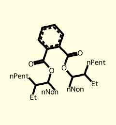 CCCCCCCCCC(OC(=O)c1ccccc1C(=O)OC(CCCCCCCCC)C(CC)CCCCC)C(CC)CCCCC